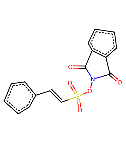 O=C1c2ccccc2C(=O)N1OS(=O)(=O)C=Cc1ccccc1